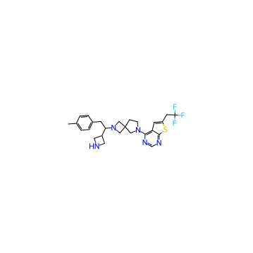 Cc1ccc(CC(C2CNC2)N2CC3(CCN(c4ncnc5sc(CC(F)(F)F)cc45)C3)C2)cc1